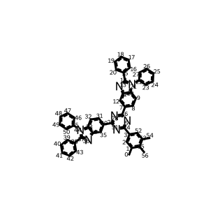 Cc1cc(-c2nc(-c3ccc4c(c3)nc(-c3ccccc3)n4-c3ccccc3)nc(-c3ccc4c(c3)nc(-c3ccccc3)n4-c3ccccc3)n2)cc(C)c1C